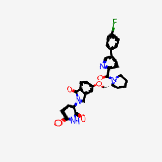 O=C1CCC(N2Cc3cc(OC[C@H]4CCCCN4C(=O)c4ccc(-c5ccc(F)cc5)cn4)ccc3C2=O)C(=O)N1